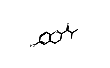 CC(C)C(=O)C1CCc2cc(O)ccc2O1